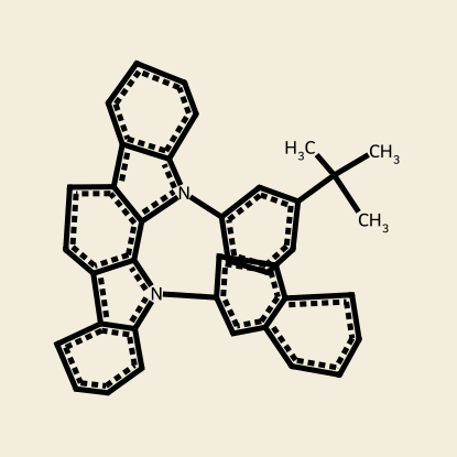 CC(C)(C)c1cccc(-n2c3ccccc3c3ccc4c5ccccc5n(-c5ccc6ccccc6c5)c4c32)c1